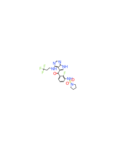 O=C(c1cccc(NS(=O)(=O)N2CCCC2)c1F)c1c[nH]c2ncnc(NCCC(F)(F)F)c12